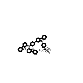 CC(C)(C)c1ccc(-n2c3ccccc3c3ccc(-c4ccc(N(C5=c6oc7ccccc7c6=CCC5)c5cccc6c5oc5ccccc56)cc4)cc32)cc1